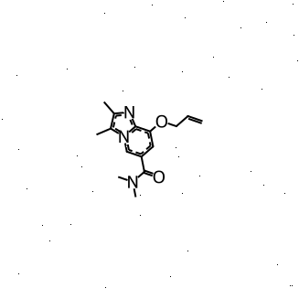 C=CCOc1cc(C(=O)N(C)C)cn2c(C)c(C)nc12